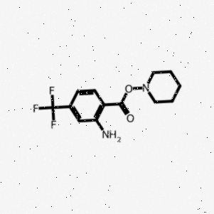 Nc1cc(C(F)(F)F)ccc1C(=O)ON1CCCCC1